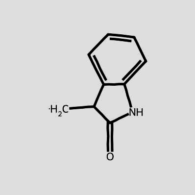 [CH2]C1C(=O)Nc2ccccc21